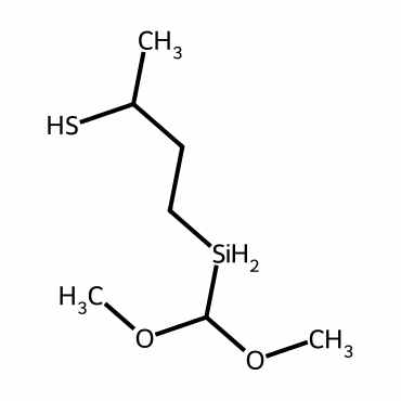 COC(OC)[SiH2]CCC(C)S